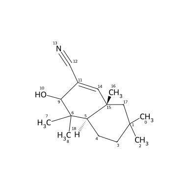 CC1(C)CC[C@H]2C(C)(C)C(O)C(C#N)=C[C@]2(C)C1